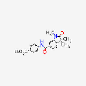 CCOC(=O)c1ccc(NC(=O)c2ccc3c(c2)N(C)C(=O)C3(C)C)cc1